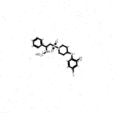 O=C(O)NC(CS(=O)(=O)N1CCC(Oc2ccc(F)cc2Cl)CC1)c1ccccc1